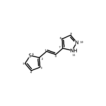 C(=Cc1cccs1)c1ccn[nH]1